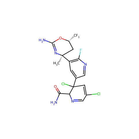 C[C@@]1(c2cc(C3(Cl)C=C(Cl)C=NC3C(N)=O)cnc2F)C[C@@H](C(F)(F)F)OC(N)=N1